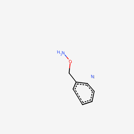 NOCc1ccccc1.[N]